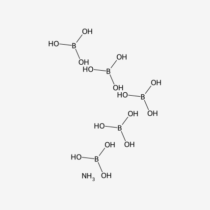 N.OB(O)O.OB(O)O.OB(O)O.OB(O)O.OB(O)O